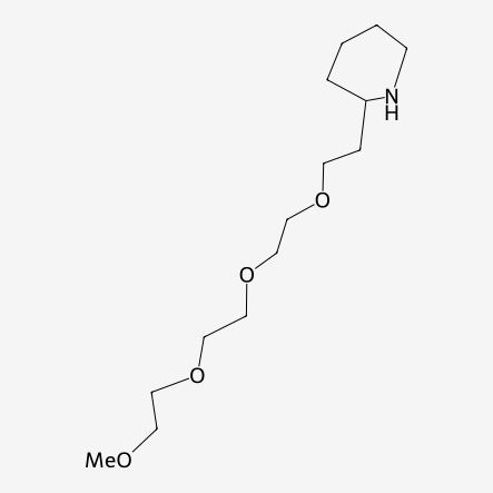 COCCOCCOCCOCCC1CCCCN1